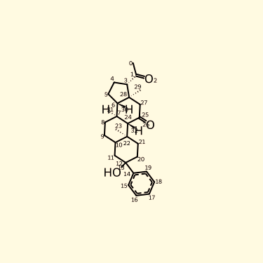 CC(=O)[C@H]1CC[C@H]2[C@@H]3CCC4CC(O)(c5ccccc5)CC[C@]4(C)[C@H]3C(=O)C[C@]12C